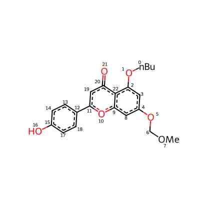 CCCCOc1cc(OCOC)cc2oc(-c3ccc(O)cc3)cc(=O)c12